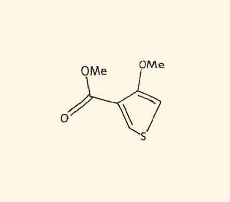 COC(=O)c1cscc1OC